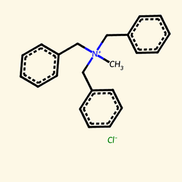 C[N+](Cc1ccccc1)(Cc1ccccc1)Cc1ccccc1.[Cl-]